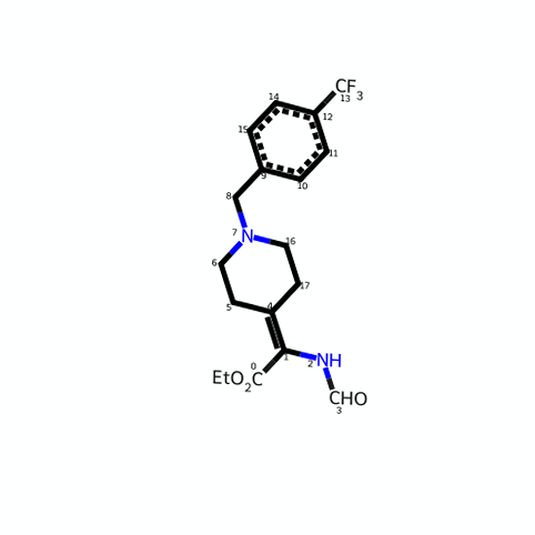 CCOC(=O)C(NC=O)=C1CCN(Cc2ccc(C(F)(F)F)cc2)CC1